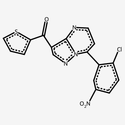 O=C(c1cccs1)c1cnn2c(-c3cc([N+](=O)[O-])ccc3Cl)ccnc12